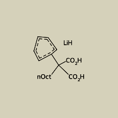 CCCCCCCCC(C(=O)O)(C(=O)O)c1ccccc1.[LiH]